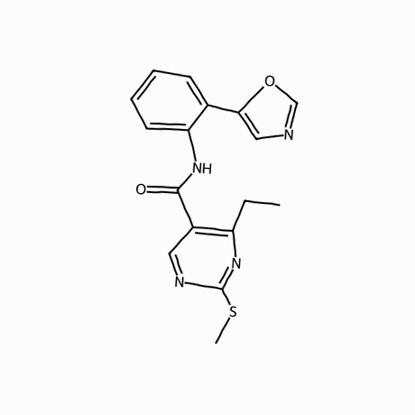 CCc1nc(SC)ncc1C(=O)Nc1ccccc1-c1cnco1